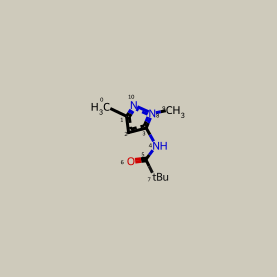 Cc1cc(NC(=O)C(C)(C)C)n(C)n1